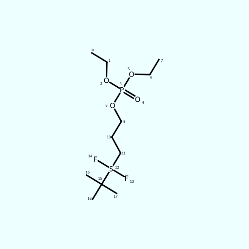 CCOP(=O)(OCC)OCCCS(F)(F)C(C)(C)C